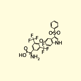 N[C@H](C(=O)O)c1cc(C(F)(F)F)c(Oc2ccc3[nH]cc(S(=O)(=O)c4ccccc4)c3c2)c(C(F)(F)F)c1